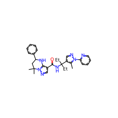 CCC(CC)(NC(=O)c1cnn2c1NC(c1ccccc1)CC2(C)C)c1cnn(-c2ccccn2)c1C